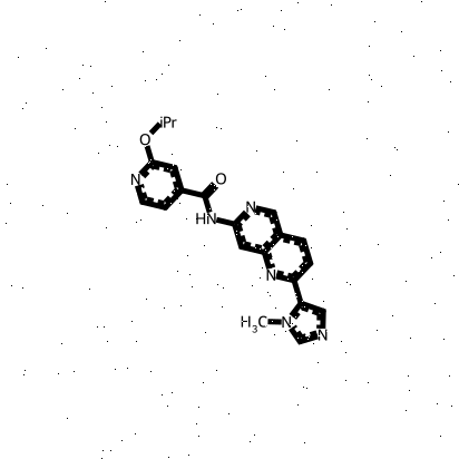 CC(C)Oc1cc(C(=O)Nc2cc3nc(-c4cncn4C)ccc3cn2)ccn1